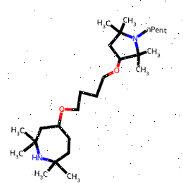 CCCCCN1C(C)(C)CC(OCCCCOC2CCC(C)(C)NC(C)(C)C2)C1(C)C